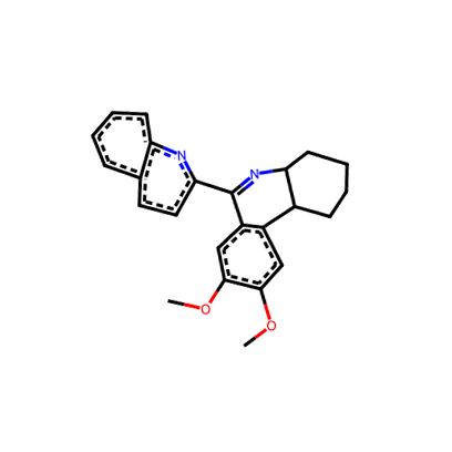 COc1cc2c(cc1OC)C1CCCCC1N=C2c1ccc2ccccc2n1